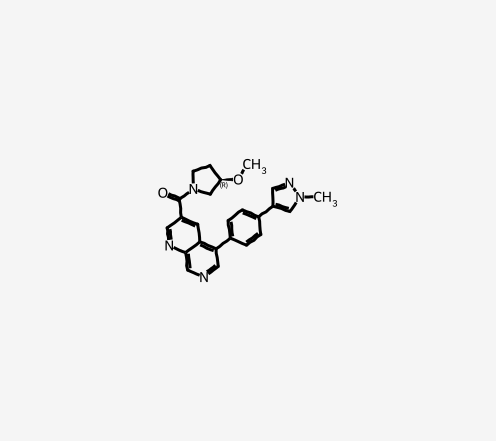 CO[C@@H]1CCN(C(=O)c2cnc3cncc(-c4ccc(-c5cnn(C)c5)cc4)c3c2)C1